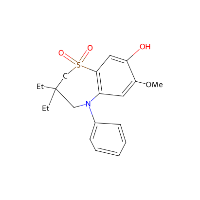 CCC1(CC)CN(c2ccccc2)c2cc(OC)c(O)cc2S(=O)(=O)C1